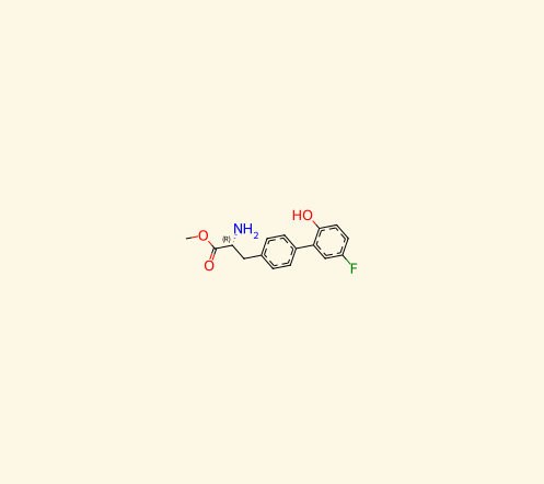 COC(=O)[C@H](N)Cc1ccc(-c2cc(F)ccc2O)cc1